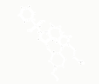 CCN1CC[C@@H](n2c(CCN)nc3cnc4c(ccn4S(=O)(=O)c4ccccc4)c32)[C@@H](F)C1